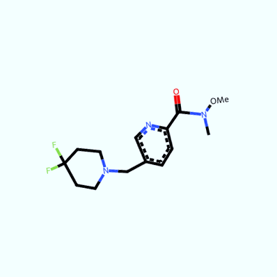 CON(C)C(=O)c1ccc(CN2CCC(F)(F)CC2)cn1